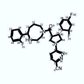 N#Cc1ccc(N2CC(C(=O)N3CCCC(c4ccccc4F)NCC3)[C@H](C3C=CC(F)=CC3F)C2)nn1